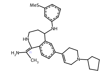 CSc1cccc(NC2CCN/C(=C(/C)N)c3ccc(C4=CCN(C5CCCC5)CC4)cc32)c1